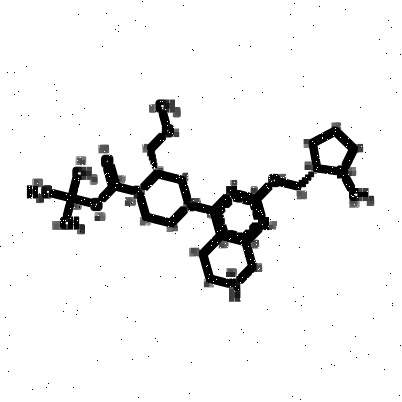 COC[C@@H]1CN(c2nc(OC[C@@H]3CCCN3C)nc3c2CCNC3)CCN1C(=O)OC(C)(C)C